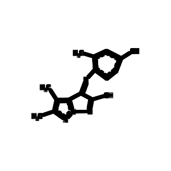 Cc1cc(O)ccc1N=C1C(O)=Nn2nc(C)c(C)c21